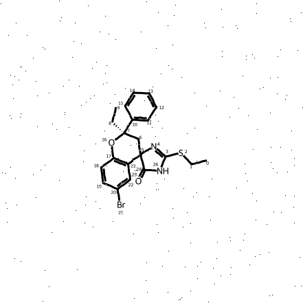 CCSC1=NC2(C[C@](CC)(c3ccccc3)Oc3ccc(Br)cc32)C(=O)N1